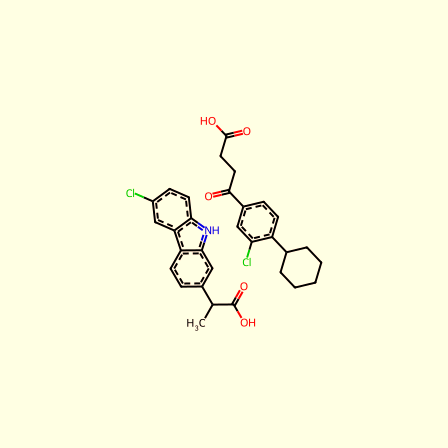 CC(C(=O)O)c1ccc2c(c1)[nH]c1ccc(Cl)cc12.O=C(O)CCC(=O)c1ccc(C2CCCCC2)c(Cl)c1